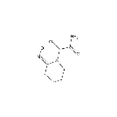 NC(=O)C(Cl)N1CCCCC1=NO